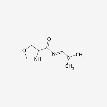 CN(C)C=NC(=O)C1COCN1